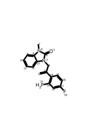 C=C(Cn1c(=O)n(C)c2ccccc21)c1ccc(F)cc1P